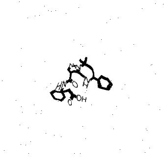 CC1(C)CC(c2ccccc2)Nc2c(C(=O)NC3(CC(=O)O)CCCCC3)cnn21